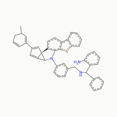 CC1C=C(C2=C[C@@]34C(=C2)C3N(c2cccc(CNC(c3ccccc3)c3ccccc3N)c2)c2c4ccc3c2sc2ccccc23)C=CC1